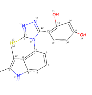 Cc1[nH]c2cccc(-n3c(S)nnc3-c3ccc(O)cc3O)c2c1C